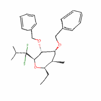 CC[C@H]1O[C@@H](C(F)(F)C(C)C)[C@H](OCc2ccccc2)[C@@H](OCc2ccccc2)[C@H]1C